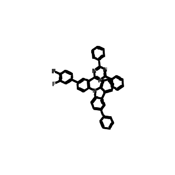 Fc1ccc(-c2ccc(-n3c4ccccc4c4cc(-c5ccccc5)ccc43)c(-c3nc(-c4ccccc4)nc(-c4ccccc4)n3)c2)cc1F